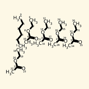 CCCCCC.CCOC(C)=O.CCOC(C)=O.CCOC(C)=O.CCOC(C)=O.CCOC(C)=O